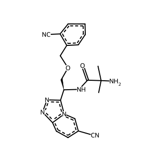 CC(C)(N)C(=O)N[C@H](COCc1ccccc1C#N)c1nnc2ccc(C#N)cn12